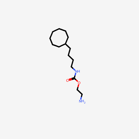 NCCOC(=O)NCCCCC1CCCCCCC1